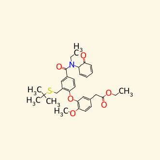 CCOC(=O)Cc1ccc(OC)c(Oc2ccc(C(=O)N(CC)C3C=CC=CC3=O)cc2CSC(C)(C)C)c1